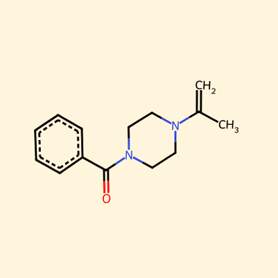 C=C(C)N1CCN(C(=O)c2ccccc2)CC1